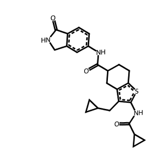 O=C1NCc2cc(NC(=O)C3CCc4sc(NC(=O)C5CC5)c(CC5CC5)c4C3)ccc21